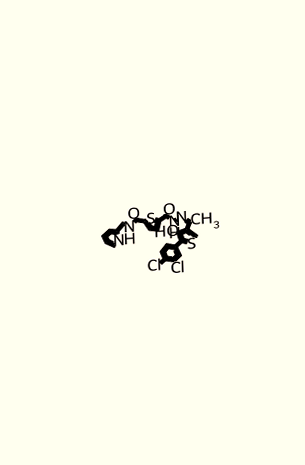 CC(=NNC(=O)c1ccc(C(=O)NCc2ccccn2)s1)c1csc(-c2ccc(Cl)c(Cl)c2)c1O